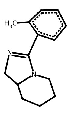 Cc1ccccc1C1=NCC2CCCCN12